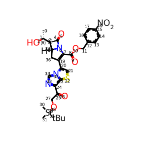 C[C@@H](O)[C@H]1C(=O)N2C(C(=O)OCc3ccc([N+](=O)[O-])cc3)=C(c3csc4c(C(=O)CO[Si](C)(C)C(C)(C)C)ncn34)C[C@H]12